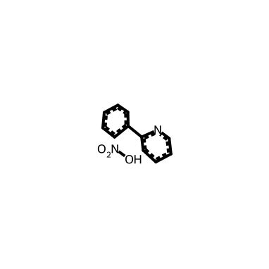 O=[N+]([O-])O.c1ccc(-c2ccccn2)cc1